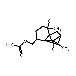 CC(=O)OCC1CCC(C)(C)C23CC4CC2C13C4(C)C